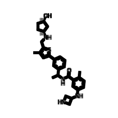 Cc1ccc(NC2CNC2)cc1C(=O)NC(C)c1cccc(-c2cc(C)c(CN[C@H]3CC[C@@H](O)C3)s2)c1